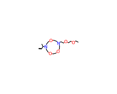 C=CC(C)N1CCOCCOCCN(CCOCCOCC)CCOCC1